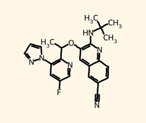 CC(Oc1cc2cc(C#N)ccc2nc1NC(C)(C)C)c1ncc(F)cc1-n1cccn1